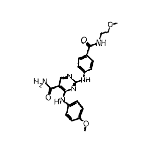 COCCNC(=O)c1ccc(Nc2ncc(C(N)=O)c(Nc3ccc(OC)cc3)n2)cc1